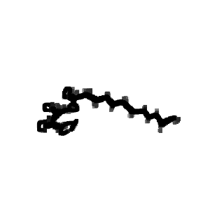 CCCCCCCCCCCC(=O)OC(Cl)C(Cl)Cl